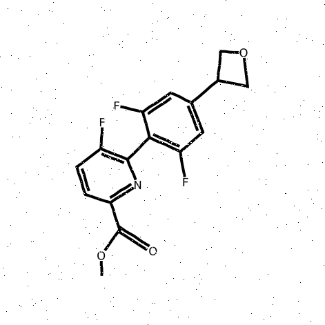 COC(=O)c1ccc(F)c(-c2c(F)cc(C3COC3)cc2F)n1